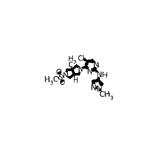 Cn1cc(Nc2ncc(Cl)c(N3C[C@@H]4CN(S(C)(=O)=O)C[C@]4(C)C3)n2)cn1